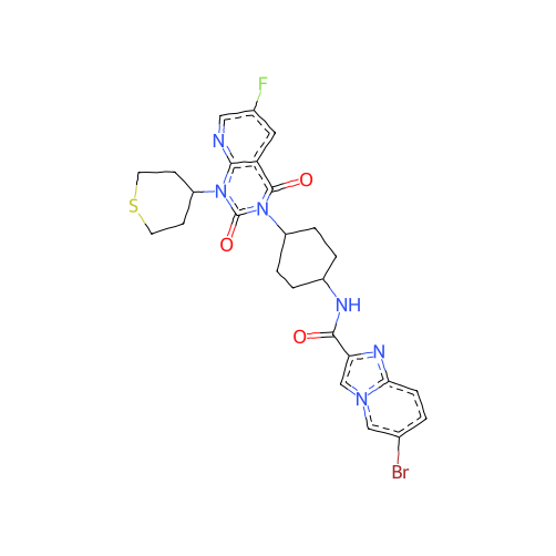 O=C(NC1CCC(n2c(=O)c3cc(F)cnc3n(C3CCSCC3)c2=O)CC1)c1cn2cc(Br)ccc2n1